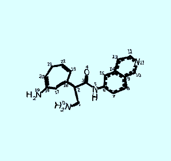 NCC(C(=O)Nc1ccc2cnccc2c1)C1=CC(N)=CCC=C1